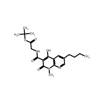 CCCCc1cnc2c(c1)c(O)c(C(=O)NCC(=O)OC(C)(C)C)c(=O)n2C